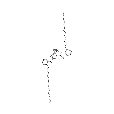 CCCCCCCCCCCCCCc1ccccc1OC(=O)CC(C(=O)Oc1ccccc1CCCCCCCCCCCCCC)S(=O)(=O)O